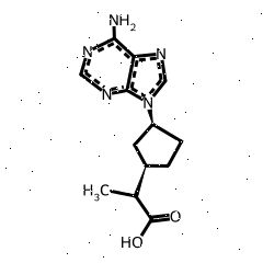 CC(C(=O)O)[C@@H]1CC[C@H](n2cnc3c(N)ncnc32)C1